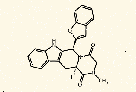 CN1CC(=O)N2[C@H](c3cc4ccccc4o3)c3[nH]c4ccccc4c3C[C@@H]2C1=O